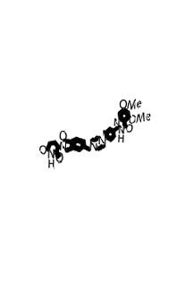 COc1cc(OC)c2c(=O)[nH]c(-c3ccc(N4CCN(Cc5ccc6c(c5)CN(C5CCC(=O)NC5=O)C6=O)CC4)cc3)nc2c1